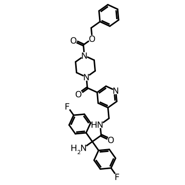 NC(C(=O)NCc1cncc(C(=O)N2CCN(C(=O)OCc3ccccc3)CC2)c1)(c1ccc(F)cc1)c1ccc(F)cc1